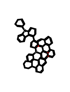 C1=CC(n2c3ccccc3c3c(-c4ccc(N(c5ccccc5-c5cccc6cccc(-c7ccccc7)c56)c5ccccc5-c5cccc6cccc(C7CCCCC7)c56)cc4)cccc32)=CCC1